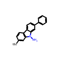 CC(C)(C)c1ccc2c3ccc(-c4ccccc4)cc3n(N)c2c1